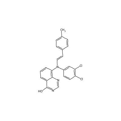 Cc1ccc(C=CN(c2ccc(Cl)c(Cl)c2)c2cccc3c(O)ncnc23)cc1